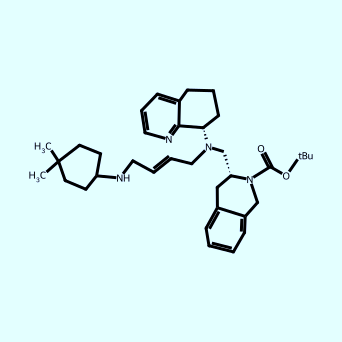 CC1(C)CCC(NC/C=C/CN(C[C@H]2Cc3ccccc3CN2C(=O)OC(C)(C)C)[C@H]2CCCc3cccnc32)CC1